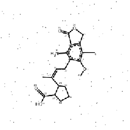 COc1c(C)c2c(c(N)c1CC=C(C)C1CCCC1C(=O)O)C(=O)OC2